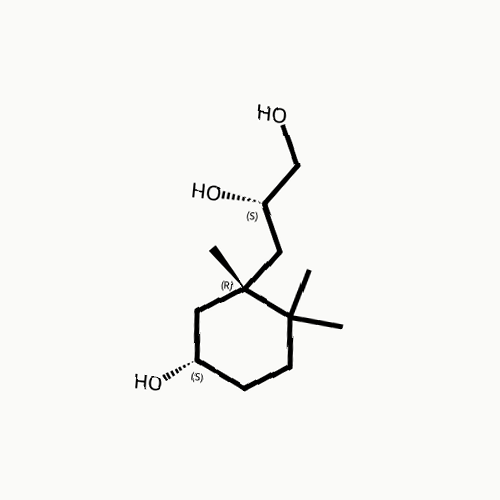 CC1(C)CC[C@H](O)C[C@]1(C)C[C@H](O)CO